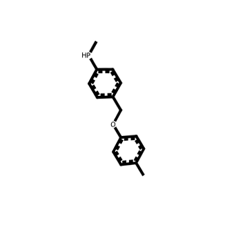 CPc1ccc(COc2ccc(C)cc2)cc1